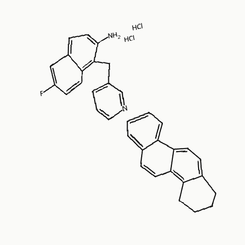 Cl.Cl.Nc1ccc2cc(F)ccc2c1Cc1cccnc1.c1ccc2c(c1)ccc1c3c(ccc12)CCCC3